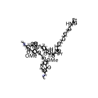 C/C=C/C1=CN2C(=O)c3cc(OC)c(OCCCOc4cc5c(cc4OC)C(=O)N4C=C(/C=C/C)CC4C(O)N5C(=O)OCc4ccc(NC(=O)C(C)NC(=O)[C@@H](NC(=O)CCOCCOCCOCCOCCNC(=O)CC)C(C)C)cc4)cc3N=CC2C1